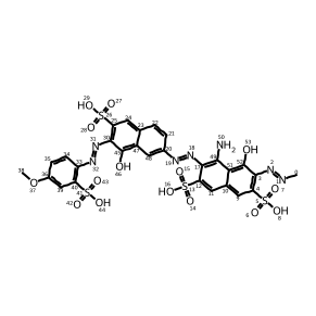 CN=Nc1c(S(=O)(=O)O)cc2cc(S(=O)(=O)O)c(N=Nc3ccc4cc(S(=O)(=O)O)c(N=Nc5ccc(OC)cc5S(=O)(=O)O)c(O)c4c3)c(N)c2c1O